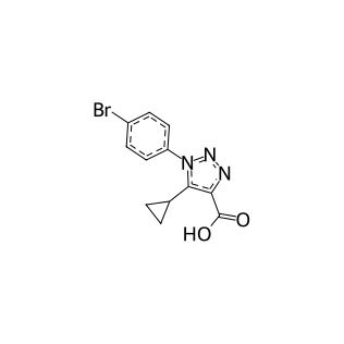 O=C(O)c1nnn(-c2ccc(Br)cc2)c1C1CC1